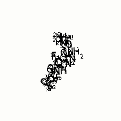 [2H]C([2H])([2H])N(CCOc1c(N)ncnc1-c1cc(F)cc(NC(=O)c2cc3c(cc2F)C2(CC2)CO3)c1C)C(=O)C=C